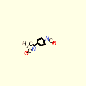 CC(N=C=O)c1ccc(N=C=O)cc1